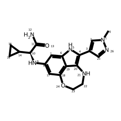 Cn1cc(-c2[nH]c3cc(N[C@H](C(N)=O)C4CC4)cc4c3c2NCCO4)cn1